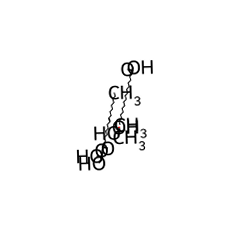 CC(O)CO.CCCCCCCCC=CCCCCCCCC(=O)OCC(O)CO.CCCCCCCCCCCCCCCCCC(=O)O